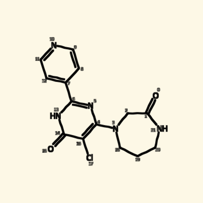 O=C1CN(c2nc(-c3ccncc3)[nH]c(=O)c2Cl)CCCN1